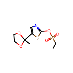 CCS(=O)(=O)Oc1ncc(C2(C)OCCO2)s1